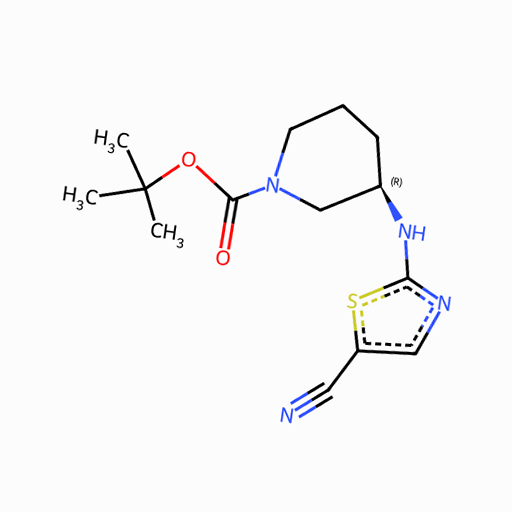 CC(C)(C)OC(=O)N1CCC[C@@H](Nc2ncc(C#N)s2)C1